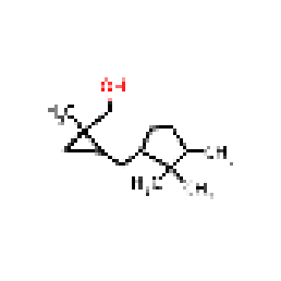 CC1CC[C@H](CC2C[C@]2(C)CO)C1(C)C